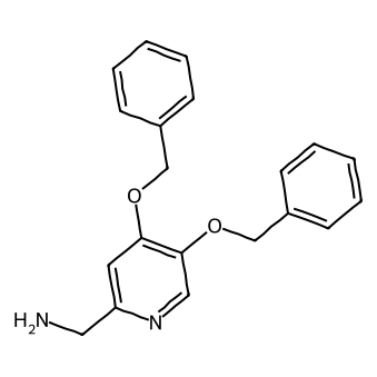 NCc1cc(OCc2ccccc2)c(OCc2ccccc2)cn1